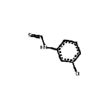 S=[C]Nc1cccc(Cl)c1